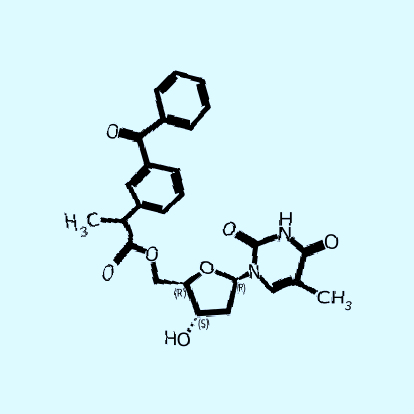 Cc1cn([C@H]2C[C@H](O)[C@@H](COC(=O)C(C)c3cccc(C(=O)c4ccccc4)c3)O2)c(=O)[nH]c1=O